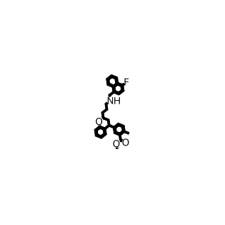 COC(=O)c1cc(C2CC(CCCNCc3ccc(F)c4ccccc34)Oc3ccccc32)ccc1C